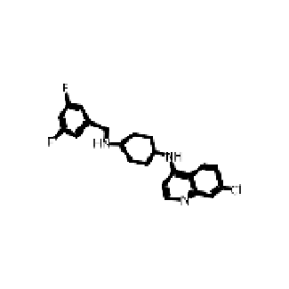 Fc1cc(F)cc(CNC2CCC(Nc3ccnc4cc(Cl)ccc34)CC2)c1